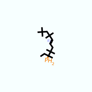 CCC(C)(P)C(C)(C)C/C=C/C(C)(C)CC(C)(C)C